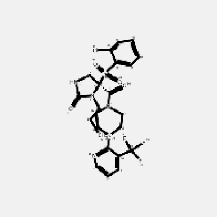 CCCN1C(=O)NC[C@@]1(C(=O)N1CCN(c2ncccc2C(F)(F)F)CC1)S(=O)(=O)c1ccccc1Cl